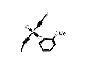 COc1ccccc1.O=S(=O)(C#CI)C#CI